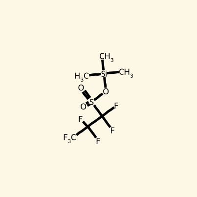 C[Si](C)(C)OS(=O)(=O)C(F)(F)C(F)(F)C(F)(F)F